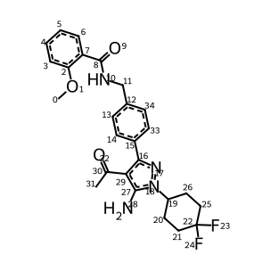 COc1ccccc1C(=O)NCc1ccc(-c2nn(C3CCC(F)(F)CC3)c(N)c2C(C)=O)cc1